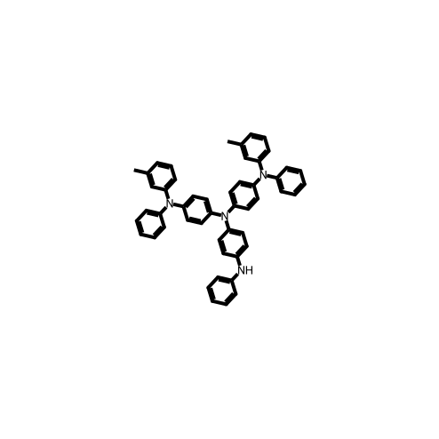 Cc1cccc(N(c2ccccc2)c2ccc(N(c3ccc(Nc4ccccc4)cc3)c3ccc(N(c4ccccc4)c4cccc(C)c4)cc3)cc2)c1